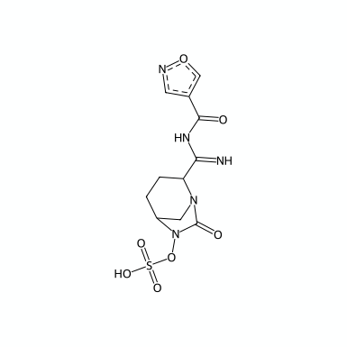 N=C(NC(=O)c1cnoc1)C1CCC2CN1C(=O)N2OS(=O)(=O)O